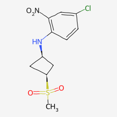 CS(=O)(=O)[C@H]1C[C@@H](Nc2ccc(Cl)cc2[N+](=O)[O-])C1